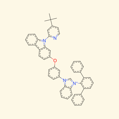 CC(C)(C)c1ccnc(-n2c3ccccc3c3ccc(Oc4cccc(-n5c[n+](-c6c(-c7ccccc7)cccc6-c6ccccc6)c6ccccc65)c4)cc32)c1